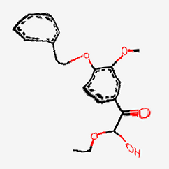 CCOC(O)C(=O)c1ccc(OCc2ccccc2)c(OC)c1